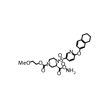 COCCOC(=O)N1CCN(S(=O)(=O)c2ccc(Oc3ccc4c(c3)CCCC4)nc2)[C@@H](C(=O)ON)C1